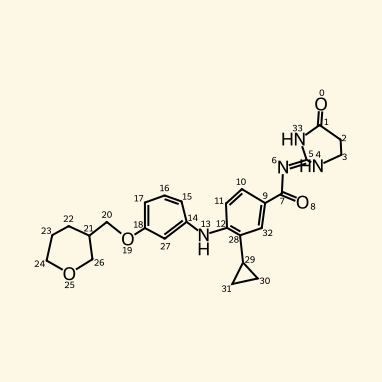 O=C1CCN/C(=N\C(=O)c2ccc(Nc3cccc(OCC4CCCOC4)c3)c(C3CC3)c2)N1